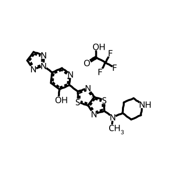 CN(c1nc2sc(-c3ncc(-n4nccn4)cc3O)nc2s1)C1CCNCC1.O=C(O)C(F)(F)F